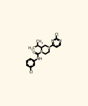 CC(C)C1CN(c2ccnc(Cl)n2)CCN1C(=O)Nc1cccc(Cl)c1